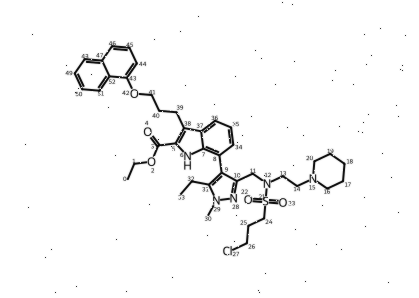 CCOC(=O)c1[nH]c2c(-c3c(CN(CCN4CCCCC4)S(=O)(=O)CCCCl)nn(C)c3CC)cccc2c1CCCOc1cccc2ccccc12